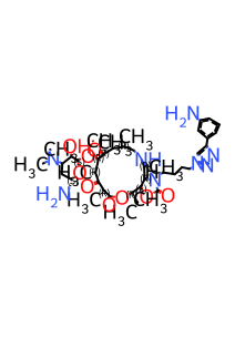 CC[C@H]1OC(=O)[C@H](C)C(=O)[C@H](C)[C@@H](O[C@@H]2O[C@H](CN)CC(N(C)C)C2O)[C@](C)(OC)C[C@@H](C)CN[C@H](C)[C@H]2N(CCCCn3cc(-c4cccc(N)c4)nn3)C(=O)O[C@]12C